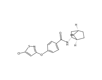 O=C(N[C@@H]1C[C@H]2CC[C@@H]1N2)c1ccc(Oc2cc(Cl)sn2)cc1